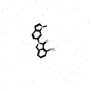 Cn1ccc2ccc(N3Cc4cccc([N+](=O)[O-])c4C3=O)cc21